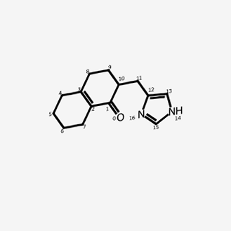 O=C1C2=C(CCCC2)CCC1Cc1c[nH]cn1